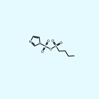 CCCCS(=O)(=O)OS(=O)(=O)n1ccnc1